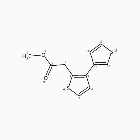 COC(=O)Cc1sccc1-c1ccsc1